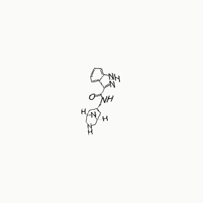 CN1[C@@H]2CNC[C@H]1C[C@@H](NC(=O)c1n[nH]c3ccccc13)C2